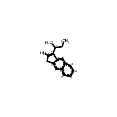 CCC(C)C1=[C]([Hf])Cc2cc3ccccc3cc21